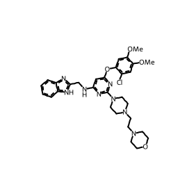 COc1cc(Cl)c(Oc2cc(NCc3nc4ccccc4[nH]3)nc(N3CCN(CCN4CCOCC4)CC3)n2)cc1OC